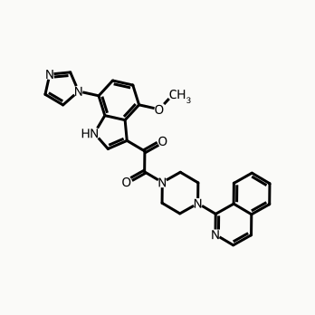 COc1ccc(-n2ccnc2)c2[nH]cc(C(=O)C(=O)N3CCN(c4nccc5ccccc45)CC3)c12